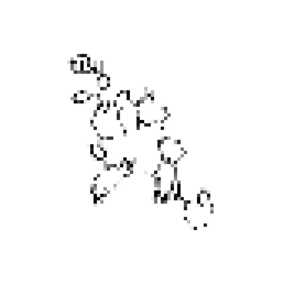 CC(C)(C)OC(=O)N1CCCC(Oc2cncc(-c3nn(C4CCCCO4)c4ccc(-c5ccnc(Cl)n5)cc34)n2)C1